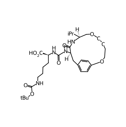 CC(C)[C@H]1COCCCCOc2ccc(cc2)C[C@@H](NC(=O)N[C@@H](CCCCNC(=O)OC(C)(C)C)C(=O)O)C(=O)N1